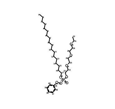 CCCCCCCCCCCCCCCCCCOP(=O)(OCCOCCOCCOCC)OOc1ccccc1